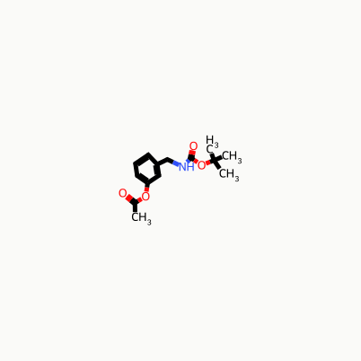 CC(=O)Oc1cccc(CNC(=O)OC(C)(C)C)c1